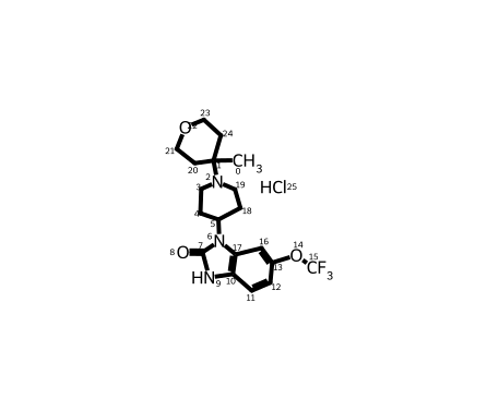 CC1(N2CCC(n3c(=O)[nH]c4ccc(OC(F)(F)F)cc43)CC2)CCOCC1.Cl